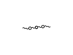 CCCCCC1CCC(CCc2ccc(CCC3CCC(CCCCC)CC3)cc2)CC1